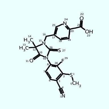 CSc1c(C#N)ccc(N2C(=O)C(C)(C)N(Cc3ccc(C(=O)O)nc3)C2=S)c1F